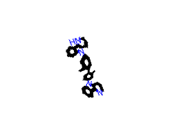 Cc1cc(-n2c3c(c4ccccc42)NCC=C3)ccc1-c1ccc(-n2c3ccccc3c3ncccc32)cc1C